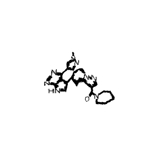 Cn1cc(-c2ncnc3[nH]cc(-c4ccn5ncc(C(=O)N6CCCCC6)c5c4)c23)cn1